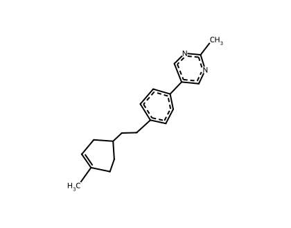 CC1=CCC(CCc2ccc(-c3cnc(C)nc3)cc2)CC1